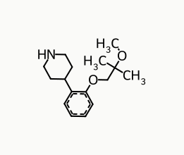 COC(C)(C)COc1ccccc1C1CCNCC1